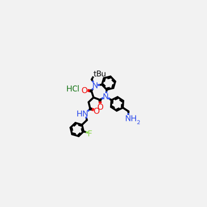 CC(C)(C)CN1C(=O)C(CC(=O)NCc2ccccc2F)C(=O)N(c2ccc(CN)cc2)c2ccccc21.Cl